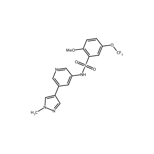 COc1ccc(OC(F)(F)F)cc1S(=O)(=O)Nc1cncc(-c2cnn(C)c2)c1